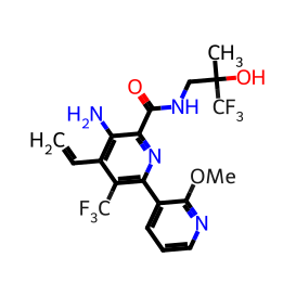 C=Cc1c(N)c(C(=O)NCC(C)(O)C(F)(F)F)nc(-c2cccnc2OC)c1C(F)(F)F